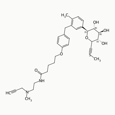 C#CCN(C)CCNC(=O)CCCCOc1ccc(Cc2cc([C@@H]3OC(C#SC)[C@@H](O)[C@H](O)[C@H]3O)ccc2C)cc1